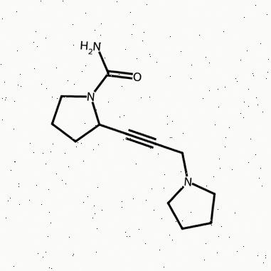 NC(=O)N1CCCC1C#CCN1CCCC1